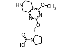 COc1nc(OC[C@@H]2CCCN2C(=O)O)nc2c1CCNC2